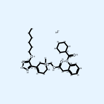 CCCCCCOc1nsnc1C1=CCC[N+](C)(COC(=O)Cc2ccccc2OC(=O)C2CCCCC2)C1.[I-]